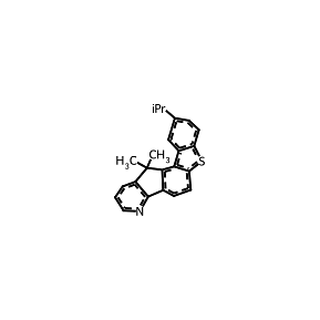 CC(C)c1ccc2sc3ccc4c(c3c2c1)C(C)(C)c1cccnc1-4